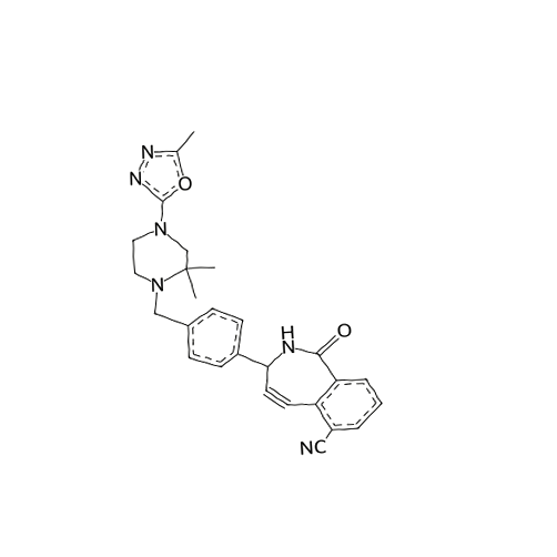 Cc1nnc(N2CCN(Cc3ccc(C4C#Cc5c(C#N)cccc5C(=O)N4)cc3)C(C)(C)C2)o1